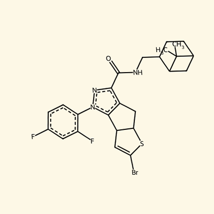 CC1(C)C2CCC(CNC(=O)c3nn(-c4ccc(F)cc4F)c4c3CC3SC(Br)=CC43)C1C2